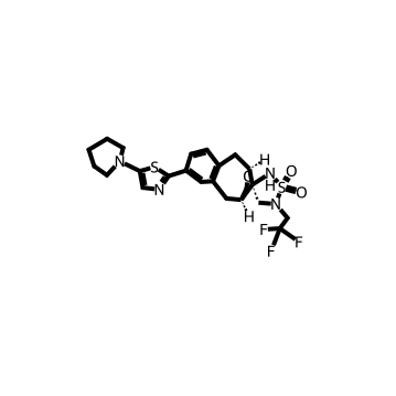 O=S1(=O)N[C@@]2(CN1CC(F)(F)F)[C@@H]1CC[C@H]2Cc2ccc(-c3ncc(N4CCCCC4)s3)cc2C1